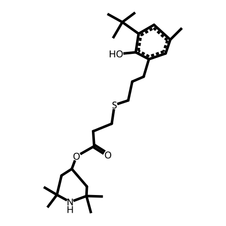 Cc1cc(CCCSCCC(=O)OC2CC(C)(C)NC(C)(C)C2)c(O)c(C(C)(C)C)c1